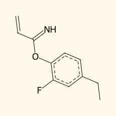 C=CC(=N)Oc1ccc(CC)cc1F